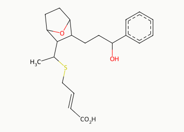 CC(SC/C=C/C(=O)O)C1C2CCC(O2)C1CCC(O)c1ccccc1